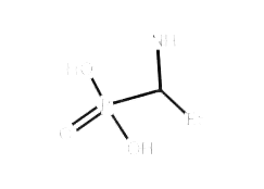 CCC([NH])P(=O)(O)O